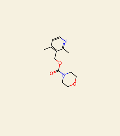 Cc1ccnc(C)c1COC(=O)N1CCOCC1